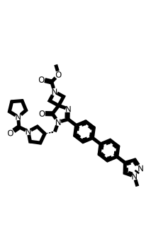 COC(=O)N1CC2(C1)N=C(c1ccc(-c3ccc(-c4cnn(C)c4)cc3)cc1)N(C[C@@H]1CCN(C(=O)N3CCCC3)C1)C2=O